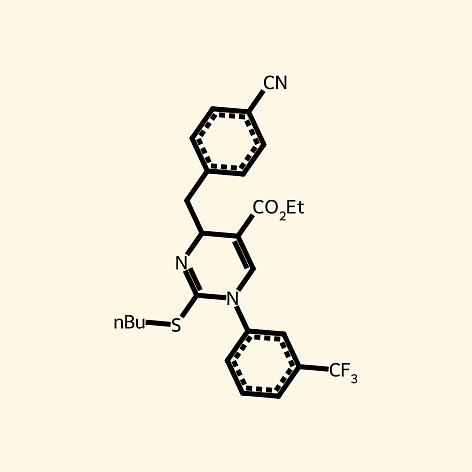 CCCCSC1=NC(Cc2ccc(C#N)cc2)C(C(=O)OCC)=CN1c1cccc(C(F)(F)F)c1